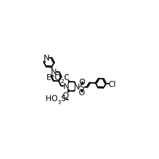 CCOC(=O)C1CN(S(=O)(=O)C=Cc2ccc(Cl)cc2)CC(=O)N1CC1CCN(c2ccncc2)CC1.CS(=O)(=O)O